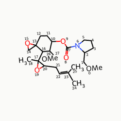 COCC1CCCN1C(=O)OC1CCC2(CO2)C(C2(C)OC2CC=C(C)C)C1OC